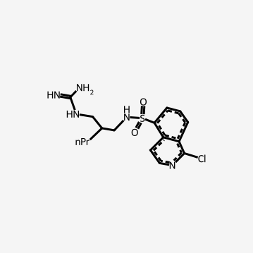 CCCC(CNC(=N)N)CNS(=O)(=O)c1cccc2c(Cl)nccc12